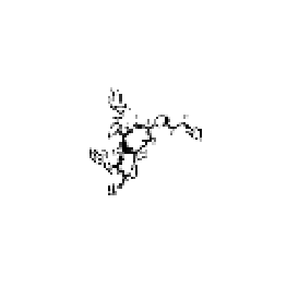 C[SiH](C)Oc1cc(OCCCl)cc2oc(Br)c(C(C)(C)C)c12